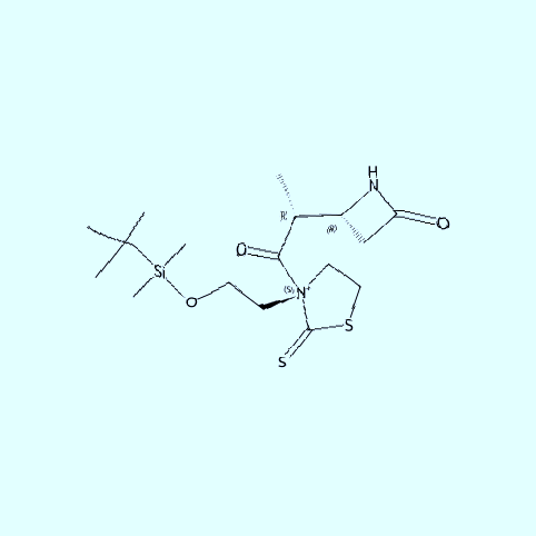 C[C@@H](C(=O)[N@+]1(CCO[Si](C)(C)C(C)(C)C)CCSC1=S)[C@H]1CC(=O)N1